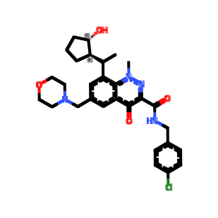 CC(c1cc(CN2CCOCC2)cc2c(=O)c(C(=O)NCc3ccc(Cl)cc3)nn(C)c12)[C@H]1CCC[C@@H]1O